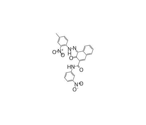 Cc1ccc(N/N=C2\C(=O)C(C(=O)Nc3cccc([N+](=O)[O-])c3)=Cc3ccccc32)c([N+](=O)[O-])c1